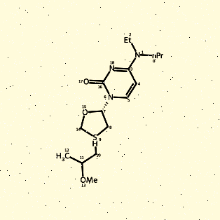 CCCN(CC)c1ccn([C@@H]2C[SH](CC(C)OC)CO2)c(=O)n1